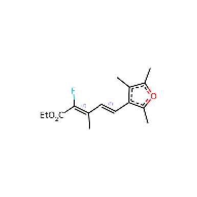 CCOC(=O)/C(F)=C(C)/C=C/c1c(C)oc(C)c1C